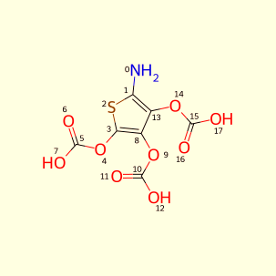 Nc1sc(OC(=O)O)c(OC(=O)O)c1OC(=O)O